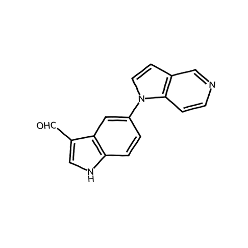 O=Cc1c[nH]c2ccc(-n3ccc4cnccc43)cc12